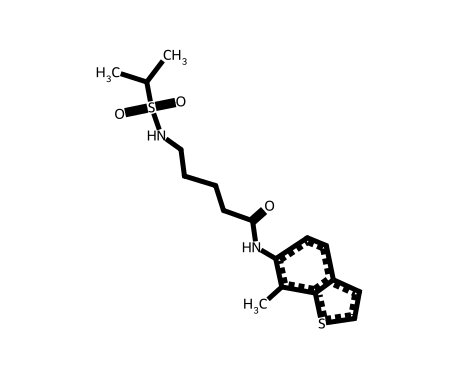 Cc1c(NC(=O)CCCCNS(=O)(=O)C(C)C)ccc2ccsc12